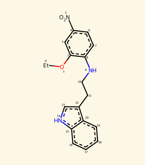 CCOc1cc([N+](=O)[O-])ccc1NCCc1c[nH]c2ccccc12